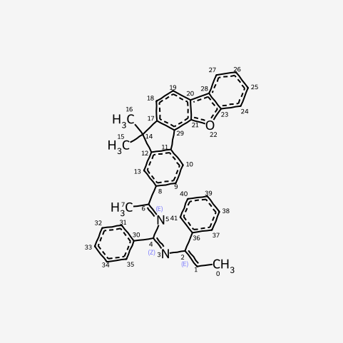 C/C=C(/N=C(\N=C(/C)c1ccc2c(c1)C(C)(C)c1ccc3c(oc4ccccc43)c1-2)c1ccccc1)c1ccccc1